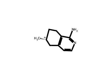 C[C@@H]1CCc2c(ccnc2N)C1